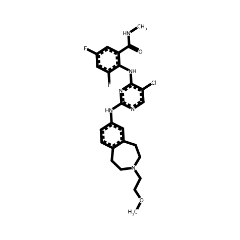 CNC(=O)c1cc(F)cc(F)c1Nc1nc(Nc2ccc3c(c2)CCN(CCOC)CC3)ncc1Cl